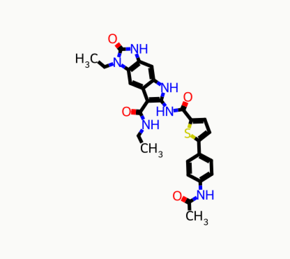 CCNC(=O)c1c(NC(=O)c2ccc(-c3ccc(NC(C)=O)cc3)s2)[nH]c2cc3[nH]c(=O)n(CC)c3cc12